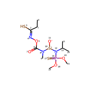 CC/C(S)=N\OC(=O)N(C)[S+]([O-])N(C(C)C)P(=S)(OC)OC